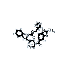 Cc1nc2ccc(C(=O)N(CC(C)C)C[C@@H](O)[C@H](Cc3ccccc3)NC(=O)OCc3cncs3)cc2s1